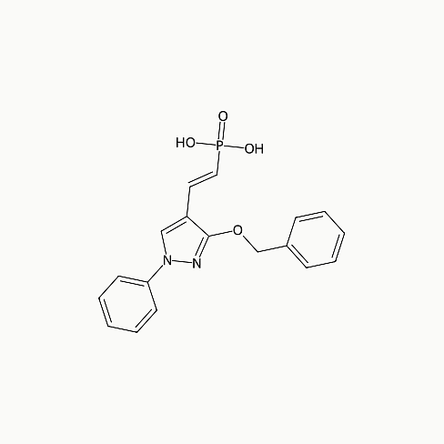 O=P(O)(O)/C=C/c1cn(-c2ccccc2)nc1OCc1ccccc1